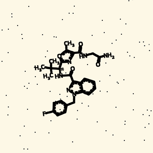 Cc1oc([C@@H](NC(=O)c2nn(Cc3ccc(F)cc3)c3ccccc23)C(C)(C)C)nc1C(=O)NCC(N)=O